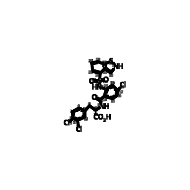 O=C(N[C@@H](Cc1ccc(Cl)c(Cl)c1)C(=O)O)c1ccc(Cl)cc1NS(=O)(=O)C1=CC=CN2SNC=C12